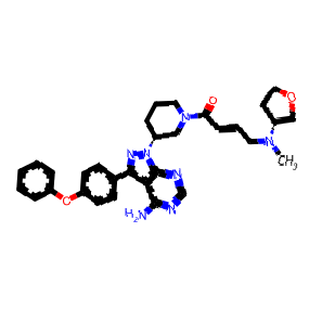 CN(CC=CC(=O)N1CCC[C@@H](n2nc(-c3ccc(Oc4ccccc4)cc3)c3c(N)ncnc32)C1)[C@@H]1CCOC1